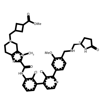 COC(=O)C1CC(CN2CCc3nc(C(=O)Nc4cccc(-c5ccnc(-c6ccc(CNC[C@H]7CCC(=O)N7)c(OC)c6)c5Cl)c4Cl)n(C)c3C2)C1